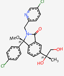 CO[C@]1(c2ccc(Cl)cc2)c2ccc([C@@](C)(O)CO)cc2C(=O)N1Cc1ccc(Cl)cn1